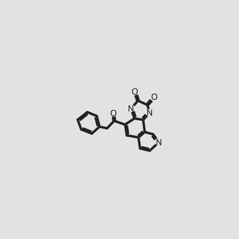 O=C1N=c2c(C(=O)Cc3ccccc3)cc3ccncc3c2=NC1=O